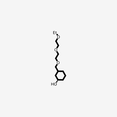 CCOCCOCCOCC1CCC[C@@H](O)C1